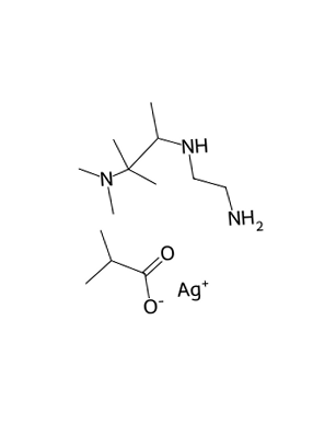 CC(C)C(=O)[O-].CC(NCCN)C(C)(C)N(C)C.[Ag+]